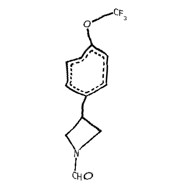 O=CN1CC(c2ccc(OC(F)(F)F)cc2)C1